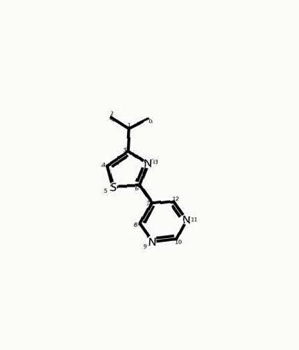 CC(C)c1csc(-c2cncnc2)n1